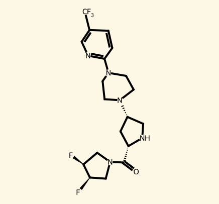 O=C([C@@H]1C[C@H](N2CCN(c3ccc(C(F)(F)F)cn3)CC2)CN1)N1C[C@@H](F)[C@@H](F)C1